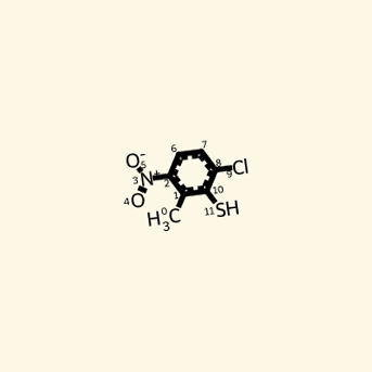 Cc1c([N+](=O)[O-])ccc(Cl)c1S